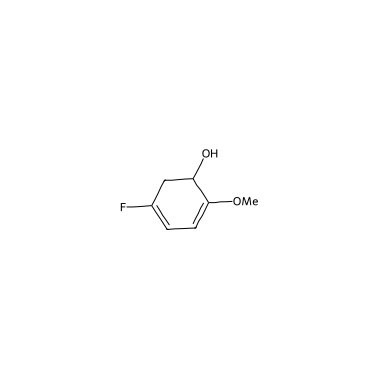 COC1=CC=C(F)CC1O